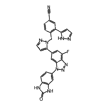 N#Cc1ccc(Cn2nccc2-c2cc(F)c3nnn(-c4ccc5[nH]c(=O)[nH]c5c4)c3c2)c(-c2ccn[nH]2)c1